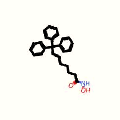 O=C(CCCCCCC(c1ccccc1)(c1ccccc1)c1ccccc1)NO